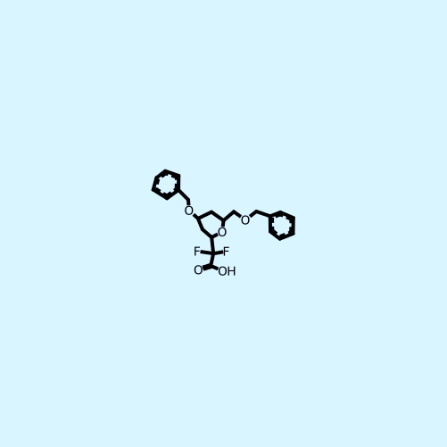 O=C(O)C(F)(F)C1CC(OCc2ccccc2)CC(COCc2ccccc2)O1